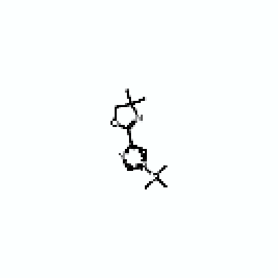 CC1(C)COC(c2cn([Si](C)(C)C)cn2)=N1